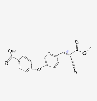 COC(=O)/C(C#N)=C/c1ccc(Oc2ccc(C(=O)O)cc2)cc1